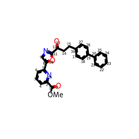 COC(=O)c1cccc(-c2cnc(C(=O)CCc3ccc(-c4ccccc4)cc3)o2)n1